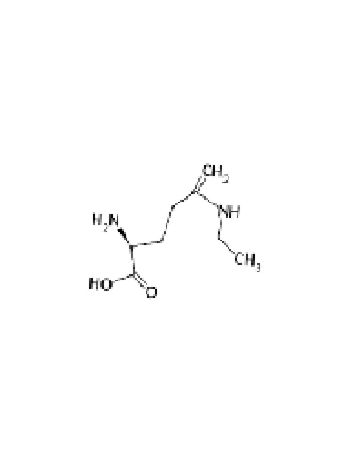 C=C(CC[C@H](N)C(=O)O)NCC